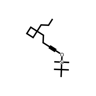 CCCC1(CCC#CO[Si](C)(C)C(C)(C)C)CCC1